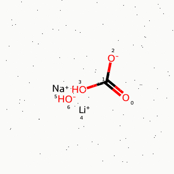 O=C([O-])O.[Li+].[Na+].[OH-]